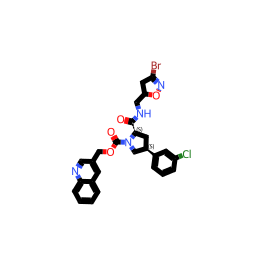 O=C(NCC1CC(Br)=NO1)[C@@H]1C[C@@H](c2cccc(Cl)c2)CN1C(=O)OCc1cnc2ccccc2c1